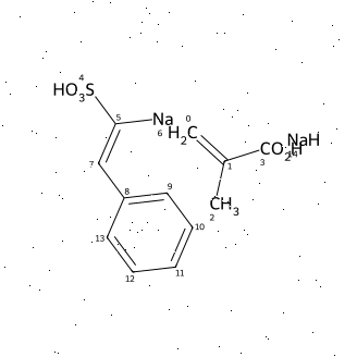 C=C(C)C(=O)O.O=S(=O)(O)[C]([Na])=Cc1ccccc1.[NaH]